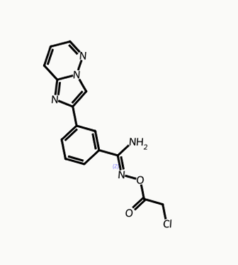 N/C(=N\OC(=O)CCl)c1cccc(-c2cn3ncccc3n2)c1